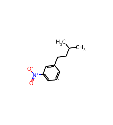 CC(C)CCc1c[c]cc([N+](=O)[O-])c1